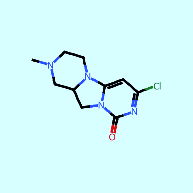 CN1CCN2c3cc(Cl)nc(=O)n3CC2C1